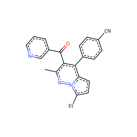 CCc1ccc2c(-c3ccc(C#N)cc3)c(C(=O)c3cccnc3)c(C)nn12